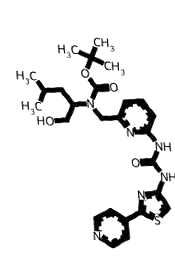 CC(C)CC(CO)N(Cc1cccc(NC(=O)Nc2csc(-c3ccncc3)n2)n1)C(=O)OC(C)(C)C